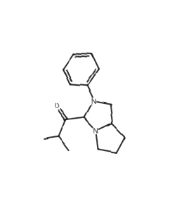 CC(C)C(=O)C1N(c2ccccc2)CC2CCCN21